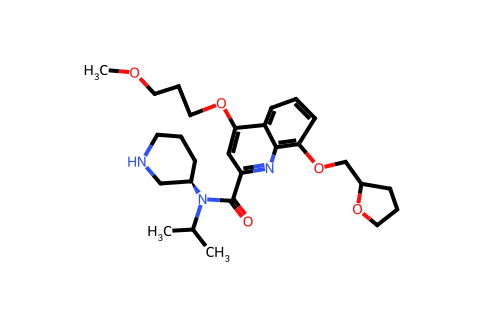 COCCCOc1cc(C(=O)N(C(C)C)[C@@H]2CCCNC2)nc2c(OCC3CCCO3)cccc12